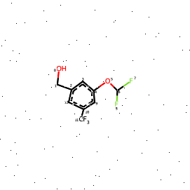 OCc1cc(OC(F)F)cc(C(F)(F)F)c1